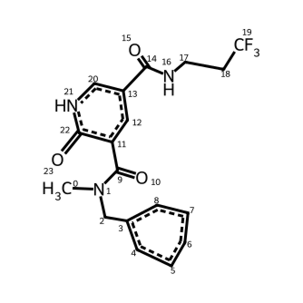 CN(Cc1ccccc1)C(=O)c1cc(C(=O)NCCC(F)(F)F)c[nH]c1=O